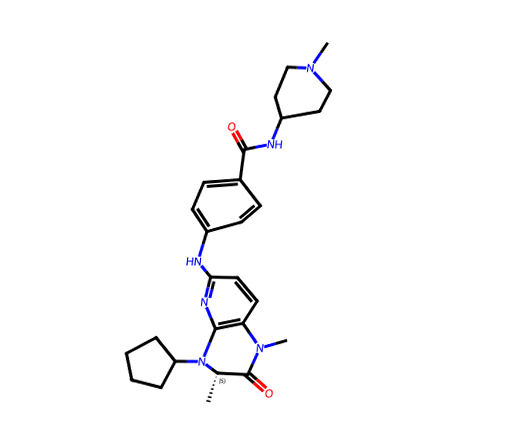 C[C@H]1C(=O)N(C)c2ccc(Nc3ccc(C(=O)NC4CCN(C)CC4)cc3)nc2N1C1CCCC1